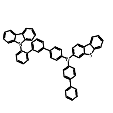 c1ccc(-c2ccc(N(c3ccc(-c4cccc(-c5ccccc5-n5c6ccccc6c6ccccc65)c4)cc3)c3ccc4c(c3)sc3ccccc34)cc2)cc1